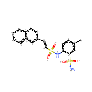 Cc1ccc(NS(=O)(=O)C=Cc2ccc3ccccc3c2)c(S(N)(=O)=O)c1